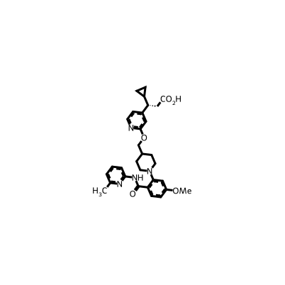 COc1ccc(C(=O)Nc2cccc(C)n2)c(N2CCC(COc3cc([C@@H](CC(=O)O)C4CC4)ccn3)CC2)c1